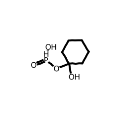 O=[PH](O)OC1(O)CCCCC1